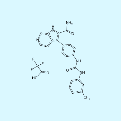 Cc1cccc(NC(=O)Nc2ccc(-c3c(C(N)=O)[nH]c4cnccc34)cc2)c1.O=C(O)C(F)(F)F